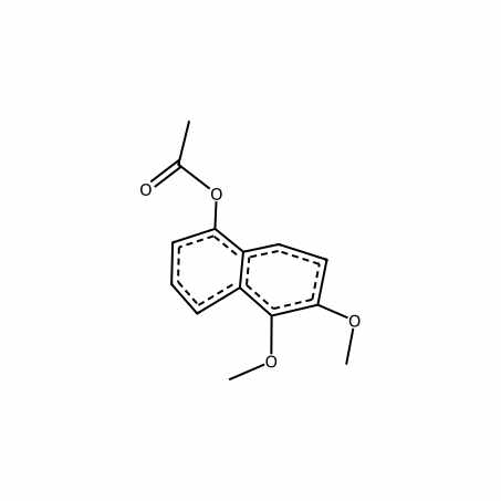 COc1ccc2c(OC(C)=O)cccc2c1OC